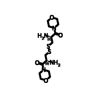 N[C@@H](CSSC[C@H](N)C(=O)N1CCOCC1)C(=O)N1CCOCC1